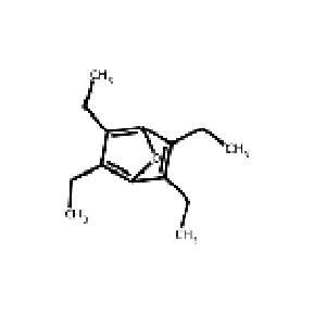 CCc1c(CC)c2oc1c(CC)c2CC